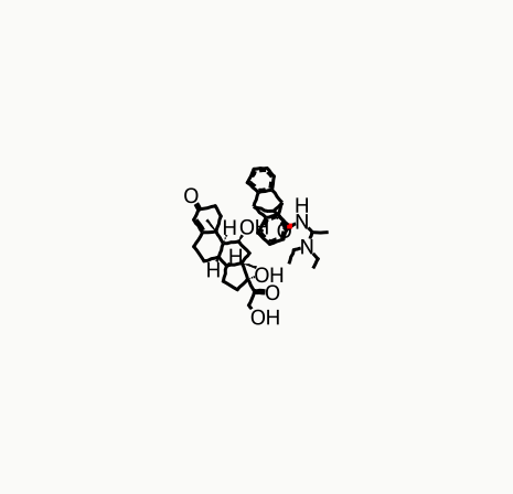 CCN(CC)C(C)NC(=O)C1CC2c3ccccc3C1c1ccccc12.C[C@]12CCC(=O)C=C1CC[C@@H]1[C@@H]2[C@@H](O)C[C@@]2(C)[C@H]1CC[C@]2(O)C(=O)CO